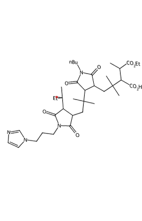 CCCCN1C(=O)C(CC(C)(C)C(C(=O)O)C(C)C(=O)OCC)C(C(C)(C)CC2C(=O)N(CCCn3ccnc3)C(=O)C2C(C)(C)CC)C1=O